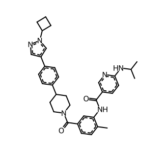 Cc1ccc(C(=O)N2CCC(c3ccc(-c4cnn(C5CCC5)c4)cc3)CC2)cc1NC(=O)c1ccc(NC(C)C)nc1